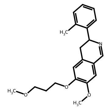 COCCCOc1cc2c(cc1OC)C=NC(c1ccccc1C)C2